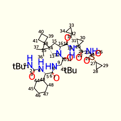 CC(C)(C)NC(=O)N[C@H](C(=O)N[C@H](C(=O)N1C[C@]2(C[C@H]1C(=O)N[C@]1(C(=O)NS(=O)(=O)C3CC3)C[C@H]1C1CC1)C(C)(C)C21CCC1)C(C)(C)C)C1CCCCC1